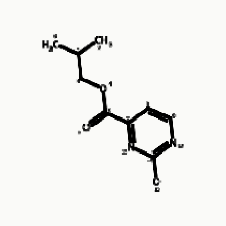 CC(C)COC(=O)c1ccnc([O])n1